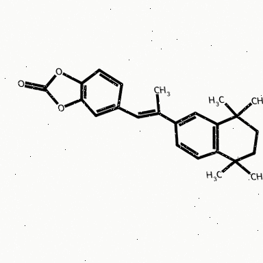 C/C(=C\c1ccc2oc(=O)oc2c1)c1ccc2c(c1)C(C)(C)CCC2(C)C